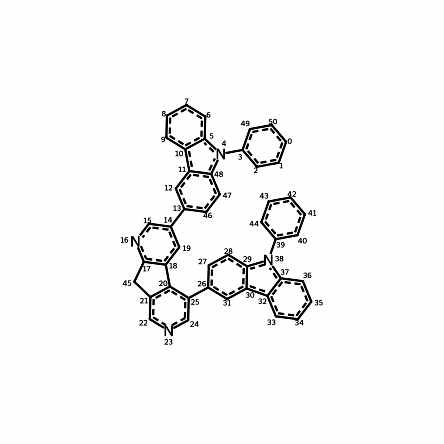 c1ccc(-n2c3ccccc3c3cc(-c4cnc5c(c4)-c4c(cncc4-c4ccc6c(c4)c4ccccc4n6-c4ccccc4)C5)ccc32)cc1